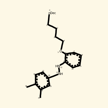 CCCCCCCCCCCCCCOc1ccccc1NNc1ccc(C)c(C)c1